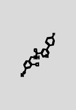 N#Cc1ccc(CNC(=O)c2cncc(-c3ccc(F)cc3)c2)c(Cl)c1